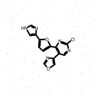 Clc1ncc(-c2cocn2)c(-c2ccc(-c3c[nH]cn3)o2)n1